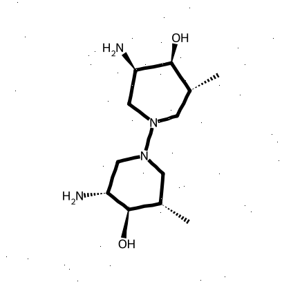 C[C@@H]1CN(N2C[C@@H](N)[C@H](O)[C@@H](C)C2)C[C@@H](N)[C@H]1O